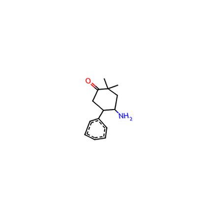 CC1(C)CC(N)C(c2ccccc2)CC1=O